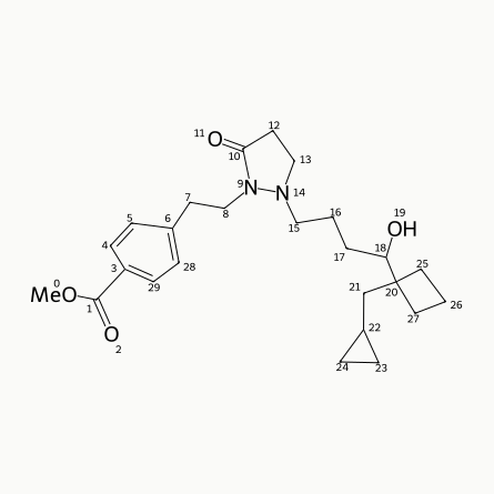 COC(=O)c1ccc(CCN2C(=O)CCN2CCCC(O)C2(CC3CC3)CCC2)cc1